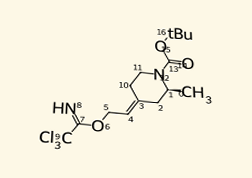 C[C@H]1CC(=CCOC(=N)C(Cl)(Cl)Cl)CCN1C(=O)OC(C)(C)C